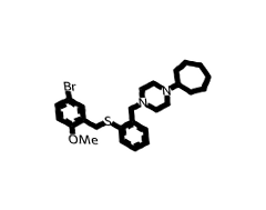 COc1ccc(Br)cc1CSc1ccccc1CN1CCN(C2CCCCCC2)CC1